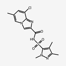 Cc1cc(Cl)c2nc(C(=O)NS(=O)(=O)c3c(C)c(C)nn3C)cn2c1